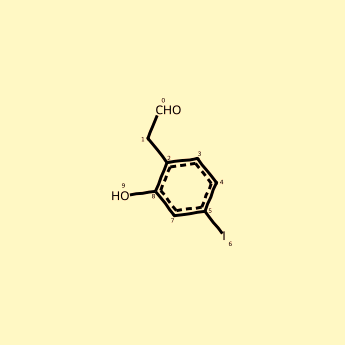 O=CCc1ccc(I)cc1O